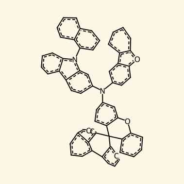 c1ccc2c(c1)Oc1cc(N(c3ccc4oc5ccccc5c4c3)c3ccc4c5ccccc5n(-c5cccc6ccccc56)c4c3)ccc1C21c2ccccc2-c2cccc3cccc1c23